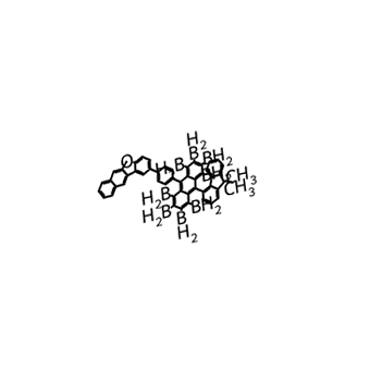 Bc1c(B)c(B)c2c(-c3cccc4c3-c3ccccc3C4(C)C)c3c(B)c(B)c(B)c(B)c3c(-c3ccc(-c4ccc5oc6cc7ccccc7cc6c5c4)cc3)c2c1B